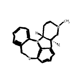 CN1CC[C@@H]2[C@@H](C1)c1cccc3c1N2c1ccccc1CS3